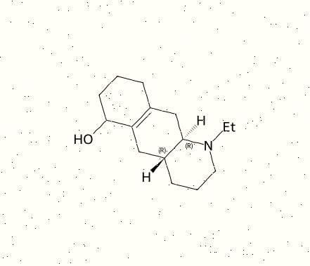 CCN1CCC[C@@H]2CC3=C(CCCC3O)C[C@H]21